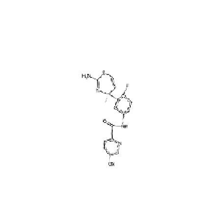 C[C@@]1(c2cc(NC(=O)c3ccc(C#N)cn3)ccc2F)C=CSC(N)=N1